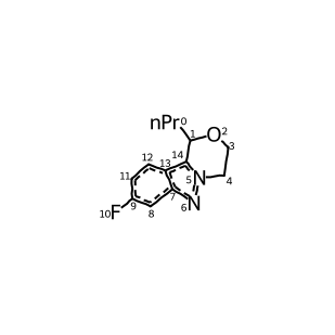 CCCC1OCCn2nc3cc(F)ccc3c21